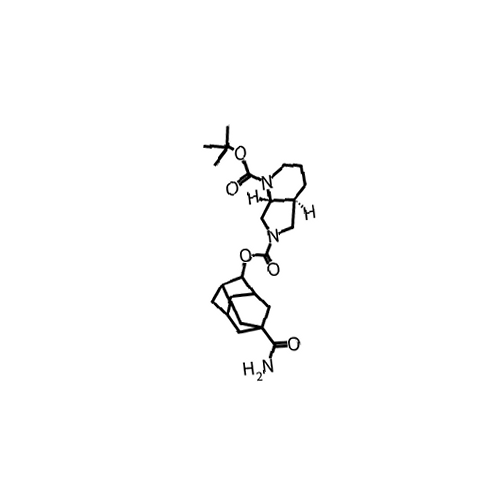 CC(C)(C)OC(=O)N1CCC[C@H]2CN(C(=O)OC3C4CC5CC3CC(C(N)=O)(C5)C4)C[C@@H]21